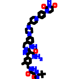 Cc1cc(-c2nn3c(c2C(N)=O)Nc2ccc(N4CCN(CC5CCN(c6ccc(N7CCC(=O)NC7=O)cc6)CC5)CC4)cc2CC3)ccc1CNC(=O)c1nc(C(C)(C)C)no1